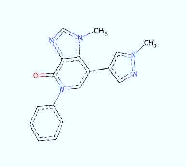 Cn1cc(-c2cn(-c3ccccc3)c(=O)c3ncn(C)c23)cn1